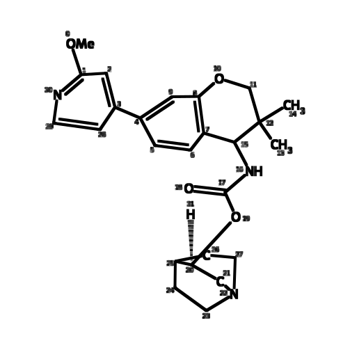 COc1cc(-c2ccc3c(c2)OCC(C)(C)C3NC(=O)O[C@H]2CN3CCC2CC3)ccn1